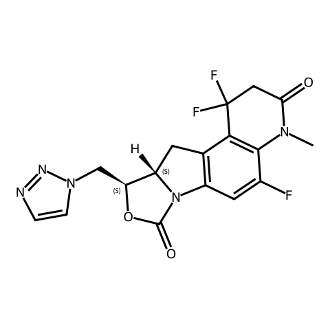 CN1C(=O)CC(F)(F)c2c3c(cc(F)c21)N1C(=O)O[C@@H](Cn2ccnn2)[C@@H]1C3